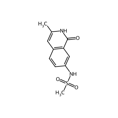 Cc1cc2ccc(NS(C)(=O)=O)cc2c(=O)[nH]1